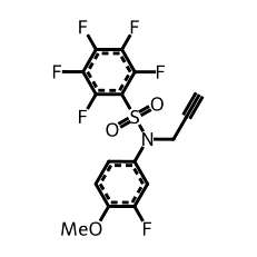 C#CCN(c1ccc(OC)c(F)c1)S(=O)(=O)c1c(F)c(F)c(F)c(F)c1F